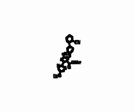 CCCCc1nc(-c2ncc(OCC)cn2)c(C(=O)OC)n1Cc1ccc(-c2ccccc2C#N)cc1